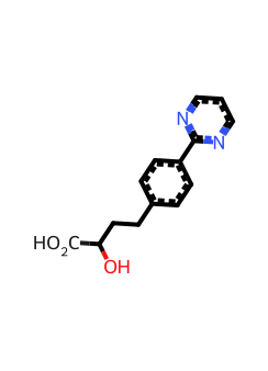 O=C(O)C(O)CCc1ccc(-c2ncccn2)cc1